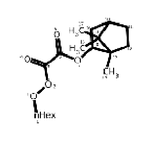 CCCCCCOOC(=O)C(=O)OC1CC2CCC1(C)C2(C)C